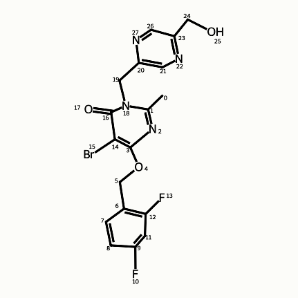 Cc1nc(OCc2ccc(F)cc2F)c(Br)c(=O)n1Cc1cnc(CO)cn1